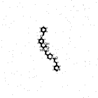 O=C(CC1CCN(C(=O)CCc2cccnc2)CC1)NC(Cc1ccc(OCc2ccccc2)cc1)C(=O)O